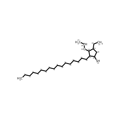 CCCCCCCCCCCCCCCCCC1C(S)CC(CC)C1OPC